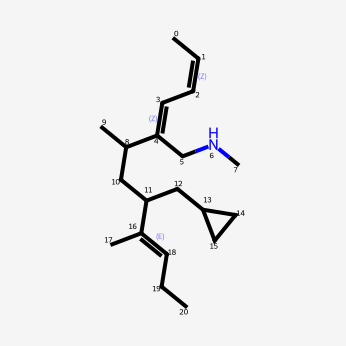 C/C=C\C=C(/CNC)C(C)CC(CC1CC1)/C(C)=C/CC